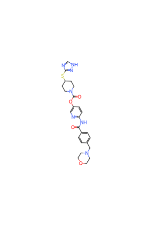 O=C(Nc1ccc(OC(=O)N2CCC(Sc3nc[nH]n3)CC2)cn1)c1ccc(CN2CCOCC2)cc1